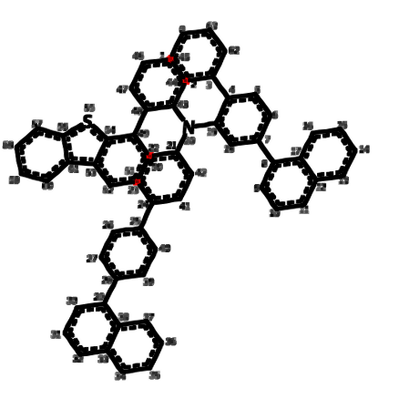 c1ccc(-c2ccc(-c3cccc4ccccc34)cc2N(c2ccc(-c3ccc(-c4cccc5ccccc45)cc3)cc2)c2ccccc2-c2cccc3c2sc2ccccc23)cc1